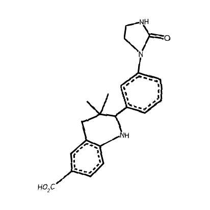 CC1(C)Cc2cc(C(=O)O)ccc2NC1c1cccc(N2CCNC2=O)c1